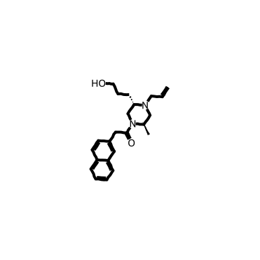 C=CCN1C[C@@H](C)N(C(=O)Cc2ccc3ccccc3c2)C[C@@H]1CCCO